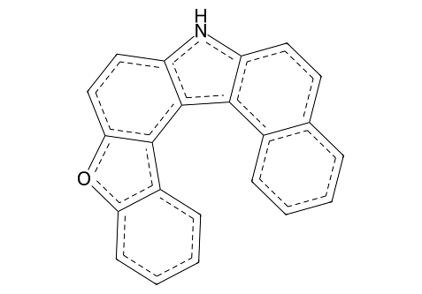 c1ccc2c(c1)ccc1[nH]c3ccc4oc5ccccc5c4c3c12